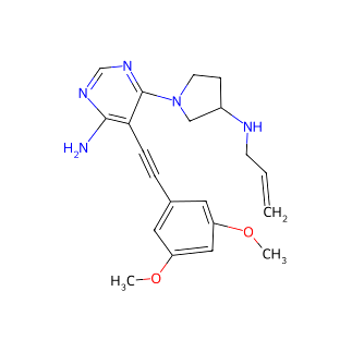 C=CCNC1CCN(c2ncnc(N)c2C#Cc2cc(OC)cc(OC)c2)C1